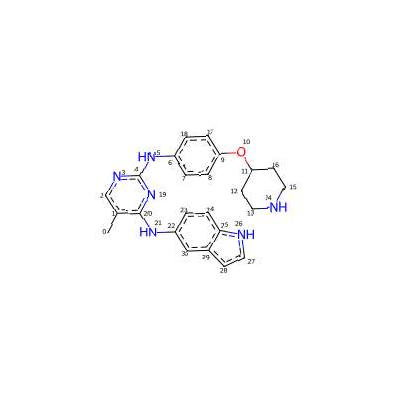 Cc1cnc(Nc2ccc(OC3CCNCC3)cc2)nc1Nc1ccc2[nH]ccc2c1